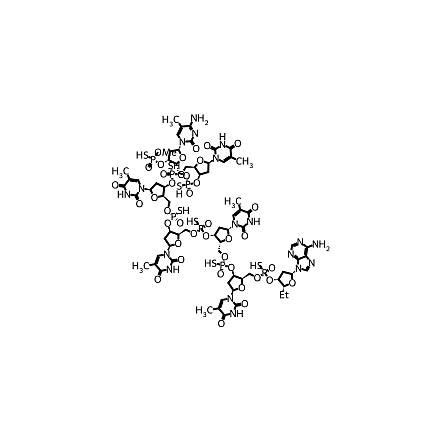 CC[C@H]1O[C@@H](n2cnc3c(N)ncnc32)C[C@H]1OP(=O)(S)OC[C@H]1O[C@@H](n2cc(C)c(=O)[nH]c2=O)C[C@H]1OP(=O)(S)OC[C@H]1O[C@@H](n2cc(C)c(=O)[nH]c2=O)C[C@H]1OP(=O)(S)OC[C@H]1O[C@@H](n2cc(C)c(=O)[nH]c2=O)C[C@H]1OP(=O)(S)OC[C@H]1O[C@@H](n2cc(C)c(=O)[nH]c2=O)C[C@H]1OP(=O)(S)OC[C@H]1O[C@@H](n2cc(C)c(=O)[nH]c2=O)C[C@H]1OP(=O)(S)OC[C@H]1O[C@@H](n2cc(C)c(N)nc2=O)C[C@H]1OP(=O)(S)OC